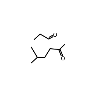 CC(=O)CCC(C)C.CCC=O